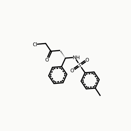 Cc1ccc(S(=O)(=O)N[C@@H](CC(=O)CCl)c2ccccc2)cc1